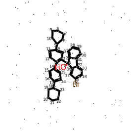 OC1(c2cc(C3CCCCC3)ccc2-c2ccc(C3CCCCC3)cc2)c2ccccc2-c2ccc(Br)cc21